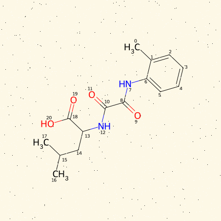 Cc1ccccc1NC(=O)C(=O)NC(CC(C)C)C(=O)O